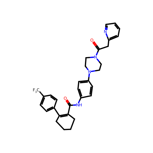 O=C(Nc1ccc(N2CCN(C(=O)Cc3ccccn3)CC2)cc1)C1=C(c2ccc(C(F)(F)F)cc2)CCCC1